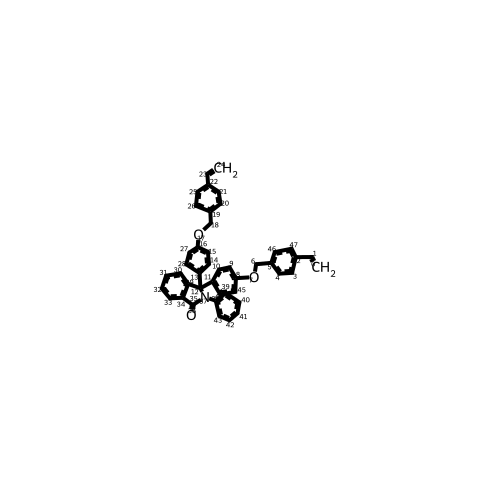 C=Cc1ccc(COc2ccc(C3(c4ccc(OCc5ccc(C=C)cc5)cc4)c4ccccc4C(=O)N3c3ccccc3)cc2)cc1